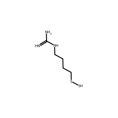 N=C(N)NCCCCSS